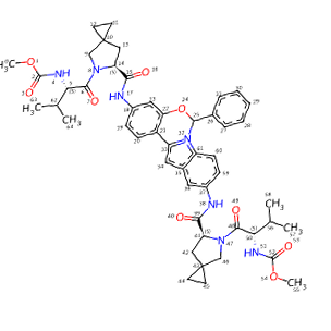 COC(=O)N[C@H](C(=O)N1CC2(CC2)C[C@H]1C(=O)Nc1ccc2c(c1)OC(c1ccccc1)n1c-2cc2cc(NC(=O)[C@@H]3CC4(CC4)CN3C(=O)[C@@H](NC(=O)OC)C(C)C)ccc21)C(C)C